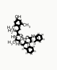 Cc1cc(O)cc(C)c1C[C@H](N)C(=O)N[C@@H](C)C(=O)N[C@@H](Cc1ccccc1)C(=O)N[C@@H](Cc1ccccc1)C(N)=O